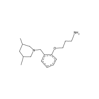 CC1CC(C)CN(Cc2ccccc2OCCCN)C1